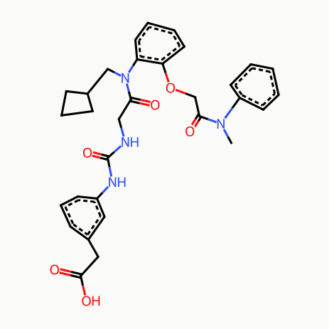 CN(C(=O)COc1ccccc1N(CC1CCC1)C(=O)CNC(=O)Nc1cccc(CC(=O)O)c1)c1ccccc1